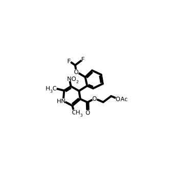 CC(=O)OCCOC(=O)C1=C(C)NC(C)=C([N+](=O)[O-])C1c1ccccc1OC(F)F